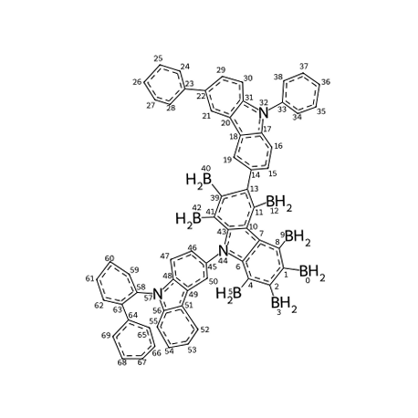 Bc1c(B)c(B)c2c(c1B)c1c(B)c(-c3ccc4c(c3)c3cc(-c5ccccc5)ccc3n4-c3ccccc3)c(B)c(B)c1n2-c1ccc2c(c1)c1ccccc1n2-c1ccccc1-c1ccccc1